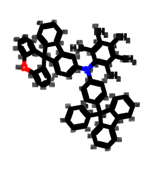 Bc1c(B)c(B)c(N(c2ccc(C3(c4ccccc4)c4ccccc4-c4ccccc43)cc2)c2ccc3c(c2)-c2ccccc2C32c3ccccc3Oc3ccccc32)c(B)c1B